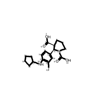 O=C(O)[C@H]1CCCN(C(=O)O)[C@H]1c1ccc(NC2CCCC2)c(I)c1